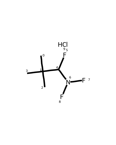 CC(C)(C)C(F)N(F)F.Cl